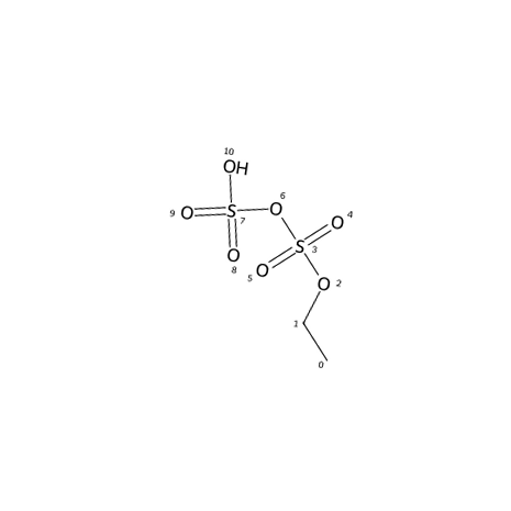 CCOS(=O)(=O)OS(=O)(=O)O